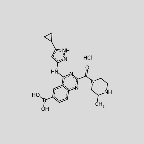 CC1CN(C(=O)c2nc(Nc3cc(C4CC4)[nH]n3)c3cc(B(O)O)ccc3n2)CCN1.Cl